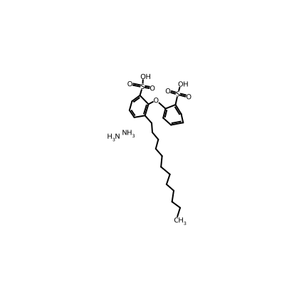 CCCCCCCCCCCCc1cccc(S(=O)(=O)O)c1Oc1ccccc1S(=O)(=O)O.N.N